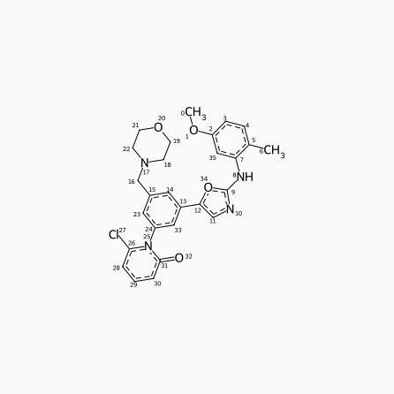 COc1ccc(C)c(Nc2ncc(-c3cc(CN4CCOCC4)cc(-n4c(Cl)cccc4=O)c3)o2)c1